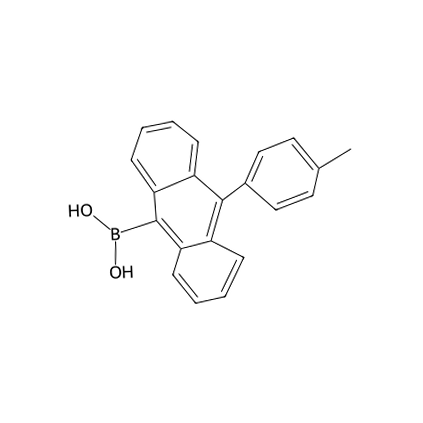 Cc1ccc(-c2c3ccccc3c(B(O)O)c3ccccc23)cc1